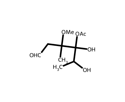 COC(C)(CC=O)C(O)(OC(C)=O)C(C)O